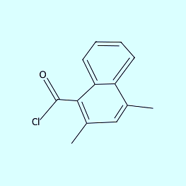 Cc1cc(C)c2ccccc2c1C(=O)Cl